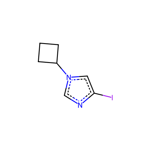 Ic1cn(C2CCC2)cn1